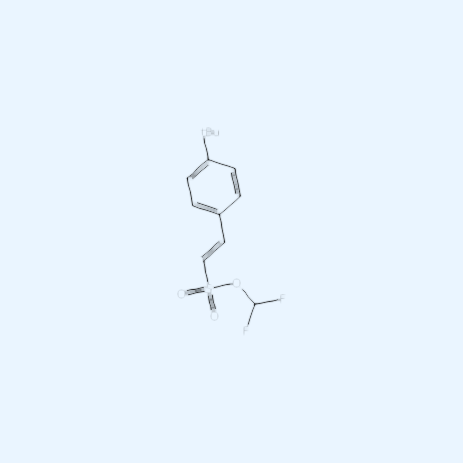 CC(C)(C)c1ccc(C=CS(=O)(=O)OC(F)F)cc1